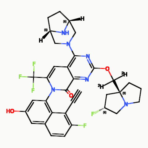 [2H]C([2H])(Oc1nc(N2C[C@H]3CC[C@@H](C2)N3)c2cc(C(F)(F)F)n(-c3cc(O)cc4ccc(F)c(C#C)c34)c(=O)c2n1)[C@@]12CCCN1C[C@H](F)C2